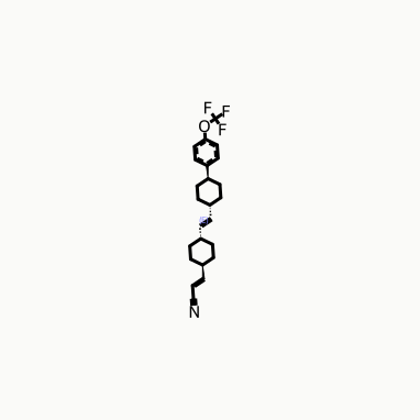 N#CC=C[C@H]1CC[C@H](/C=C/[C@H]2CC[C@H](c3ccc(OC(F)(F)F)cc3)CC2)CC1